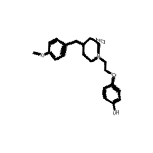 COc1ccc(CC2CCN(CCOc3ccc(O)cc3)CC2)cc1.Cl